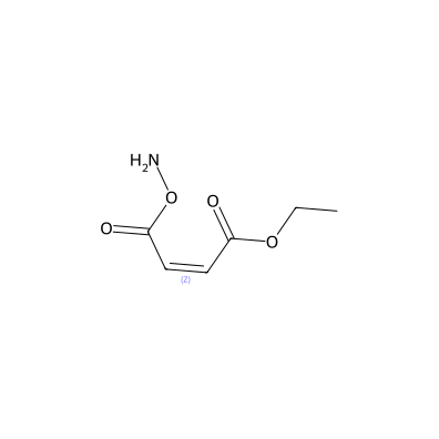 CCOC(=O)/C=C\C(=O)ON